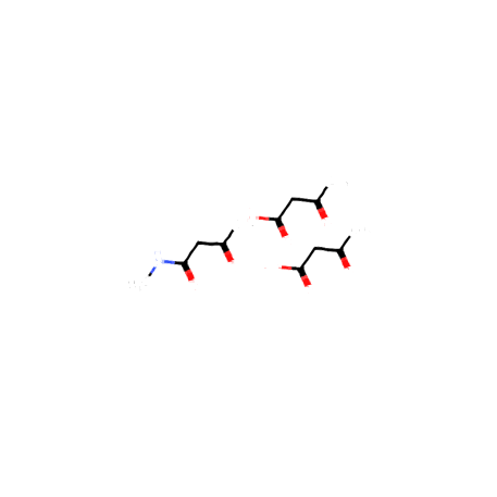 CC(=O)CC(=O)O.CC(=O)CC(=O)O.CNC(=O)CC(C)=O